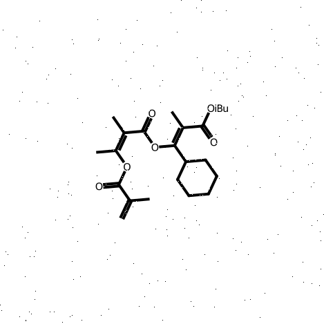 C=C(C)C(=O)OC(C)=C(C)C(=O)OC(=C(C)C(=O)OCC(C)C)C1CCCCC1